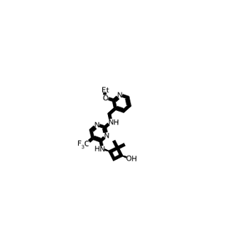 CCOc1ncccc1CNc1ncc(C(F)(F)F)c(N[C@@H]2C[C@H](O)C2(C)C)n1